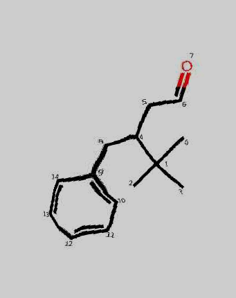 CC(C)(C)C(CC=O)Cc1ccccc1